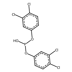 OP(Oc1ccc(Cl)c(Cl)c1)Oc1ccc(Cl)c(Cl)c1